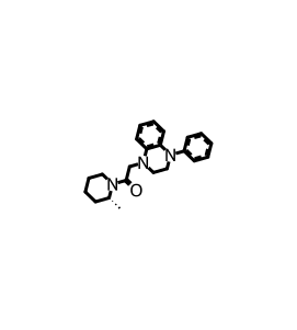 C[C@@H]1CCCCN1C(=O)CN1CCN(c2ccccc2)c2ccccc21